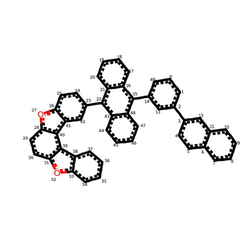 c1cc(-c2ccc3ccccc3c2)cc(-c2c3ccccc3c(-c3ccc4oc5ccc6oc7ccccc7c6c5c4c3)c3ccccc23)c1